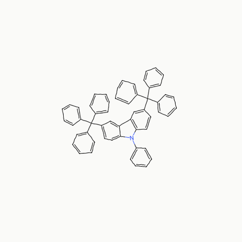 c1ccc(-n2c3ccc(C(c4ccccc4)(c4ccccc4)c4ccccc4)cc3c3cc(C(c4ccccc4)(c4ccccc4)c4ccccc4)ccc32)cc1